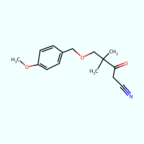 COc1ccc(COCC(C)(C)C(=O)CC#N)cc1